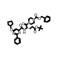 CC(C)(C)OC(=O)CC[C@H](NC(=O)c1cc(OC2CCCC2)nc(-c2ccccc2)n1)C(=O)N1CCN(C(=O)OCc2ccccc2)CC1